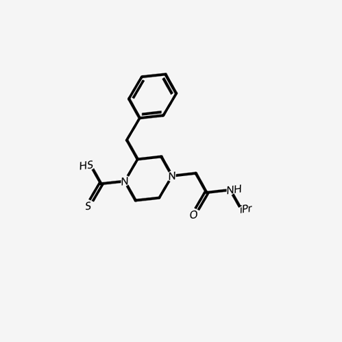 CC(C)NC(=O)CN1CCN(C(=S)S)C(Cc2ccccc2)C1